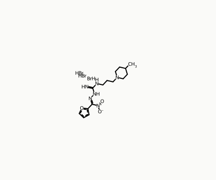 Br.Br.Br.CC1CCN(CCCNC(=N)NN=C(c2ccco2)[N+](=O)[O-])CC1